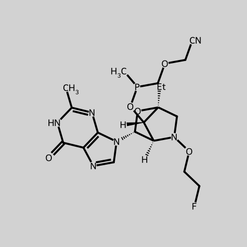 CC[C@@]12CN(OCCF)[C@@H]([C@H](n3cnc4c(=O)[nH]c(C)nc43)O1)[C@@H]2OP(C)COCC#N